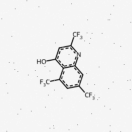 Oc1cc(C(F)(F)F)nc2cc(C(F)(F)F)cc(C(F)(F)F)c12